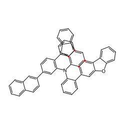 c1ccc(-c2ccc(-c3ccc4ccccc4c3)cc2N(c2ccccc2-c2ccc3c(c2)oc2ccccc23)c2cccc3c2sc2ccccc23)cc1